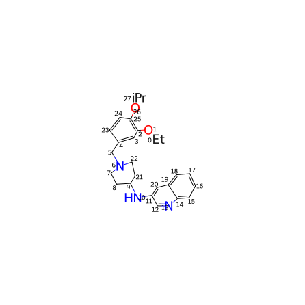 CCOc1cc(CN2CCC(Nc3cnc4ccccc4c3)CC2)ccc1OC(C)C